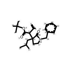 C=C(C)C(C(=O)OC(C)(C)C)C1(CC(C)C)CCN(Cc2ccccc2)C1=O